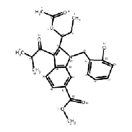 CCC(OC(C)=O)c1c(C(=O)C(C)C)c2ccc(C(=O)OC)cc2n1Cc1ccccc1Cl